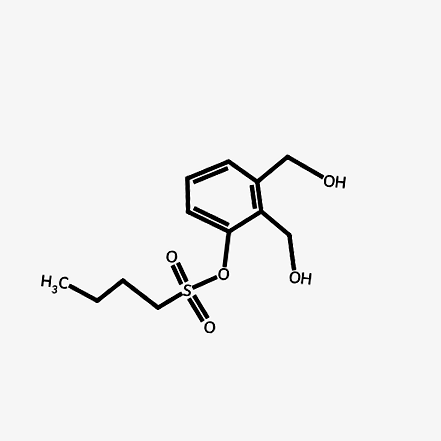 CCCCS(=O)(=O)Oc1cccc(CO)c1CO